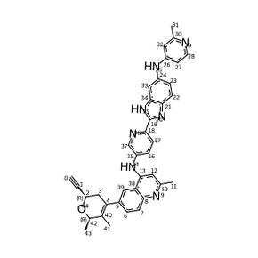 C#C[C@H]1CC(c2ccc3nc(C)cc(Nc4ccc(-c5nc6ccc(Nc7ccnc(C)c7)cc6[nH]5)nc4)c3c2)=C(C)[C@@H](C)O1